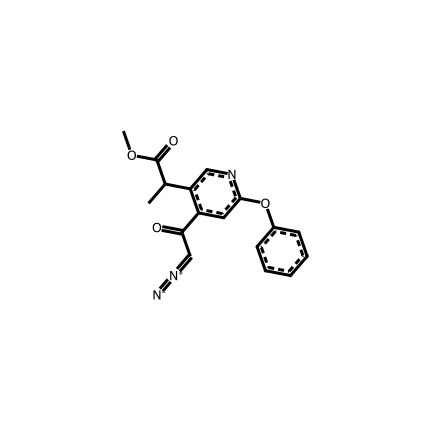 COC(=O)C(C)c1cnc(Oc2ccccc2)cc1C(=O)C=[N+]=[N-]